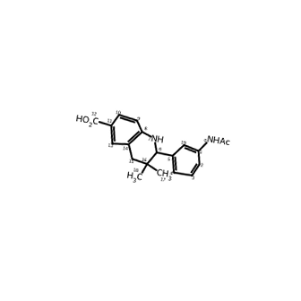 CC(=O)Nc1cccc(C2Nc3ccc(C(=O)O)cc3CC2(C)C)c1